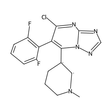 CN1[CH][C](c2c(-c3c(F)cccc3F)c(Cl)nc3ncnn23)CCC1